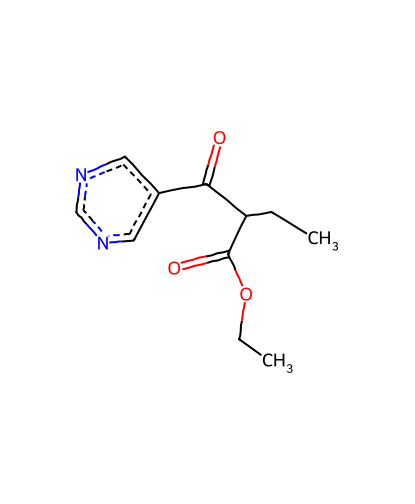 CCOC(=O)C(CC)C(=O)c1cncnc1